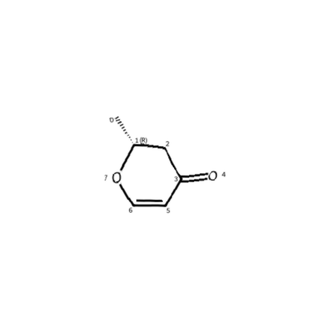 C[C@@H]1CC(=O)C=CO1